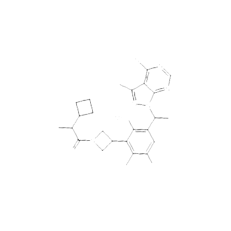 COc1c(C(C)n2nc(C)c3c(N)ncnc32)cc(Cl)c(C)c1C1CN(C(=O)C(C)C2CCC2)C1